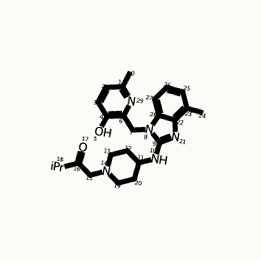 Cc1ccc(O)c(Cn2c(NC3CCN(CC(=O)C(C)C)CC3)nc3c(C)cccc32)n1